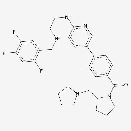 O=C(c1ccc(-c2cnc3c(c2)N(Cc2cc(F)c(F)cc2F)CCN3)cc1)N1CCCC1CN1CCCC1